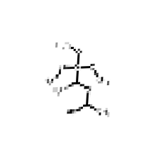 CO[Si](OC)(OC)C(C)SC(C)S